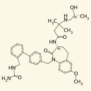 COc1ccc2c(c1)CC[C@@H](NC(=O)CC(C)(C)NC[C@@H](C)O)C(=O)N2Cc1ccc(-c2ccccc2CNC(N)=O)cc1